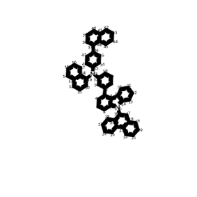 c1cc(-c2cccc3c2c2ccccc2n3-c2cc3ccccc3c3ccccc23)cc(N(c2ccc(-c3cccc4ccccc34)cc2)c2cccc3ccccc23)c1